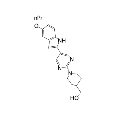 CCCOc1ccc2[nH]c(-c3cnc(N4CCC(CO)CC4)nc3)cc2c1